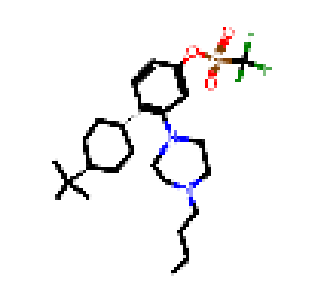 CCCCN1CCN(c2cc(OS(=O)(=O)C(F)(F)F)ccc2[C@H]2CC[C@H](C(C)(C)C)CC2)CC1